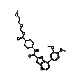 COCCOCOC(=O)[C@H]1CC[C@H](NC(=O)c2cc3nccc(-c4ccc(OC)c(OC)c4)n3n2)CC1